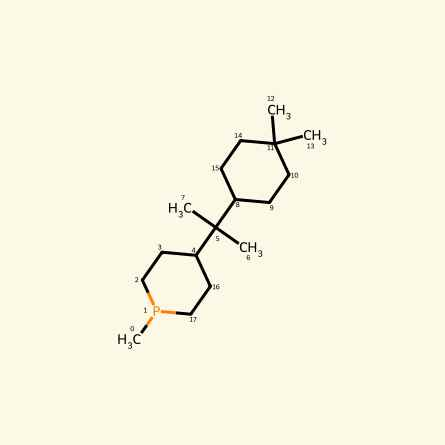 CP1CCC(C(C)(C)C2CCC(C)(C)CC2)CC1